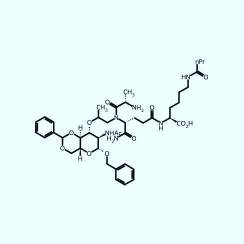 CCCC(=O)NCCCC[C@H](NC(=O)CC[C@H](C(N)=O)N(CC(C)O[C@@H]1[C@@H](NC(C)=O)[C@H](OCc2ccccc2)O[C@@H]2COC(c3ccccc3)O[C@@H]12)C(=O)[C@H](C)N)C(=O)O